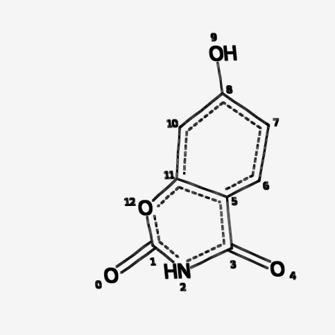 O=c1[nH]c(=O)c2ccc(O)cc2o1